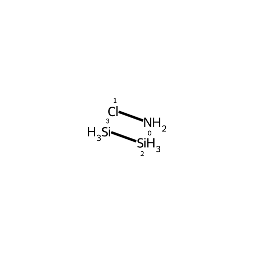 NCl.[SiH3][SiH3]